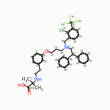 CC(C)(NCCc1cccc(OCCCN(Cc2cccc(C(F)(F)F)c2Cl)CC(c2ccccc2)c2ccccc2)c1)C(=O)O